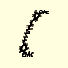 CC(=O)Oc1ccc(C=CCCCOCCCC=Cc2ccc(OC(C)=O)cc2)cc1